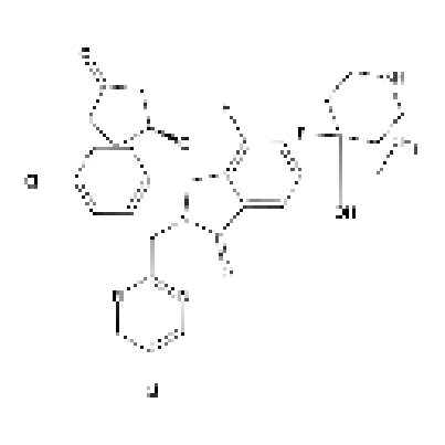 CCC(O)(c1cc(F)c2c(c1)C(=O)N(Cc1ncc(Cl)cn1)[C@@]2(O[C@H]1CCC(=O)C1)c1ccc(Cl)cc1)C1(F)CCNCC1